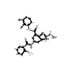 CCCNc1nc2c(C(=O)Nc3cccc(Cl)c3C)cc(NC(=O)c3ccccc3C(F)(F)F)cc2[nH]1